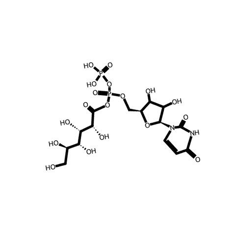 O=C(OP(=O)(OC[C@@H]1O[C@H](n2ccc(=O)[nH]c2=O)C(O)C1O)OP(=O)(O)O)[C@H](O)[C@@H](O)[C@H](O)[C@H](O)CO